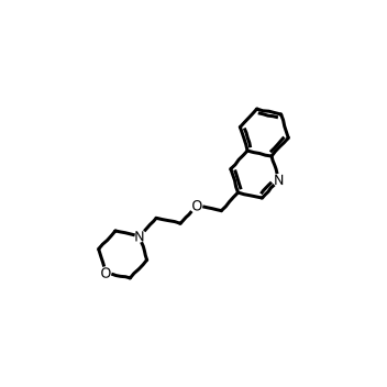 c1ccc2ncc(COCCN3CCOCC3)cc2c1